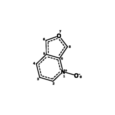 [O-][n+]1cccc2cocc21